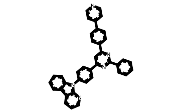 c1ccc(-c2nc(-c3ccc(-c4ccncc4)cc3)cc(-c3ccc(-n4c5ccccc5c5cccnc54)cc3)n2)cc1